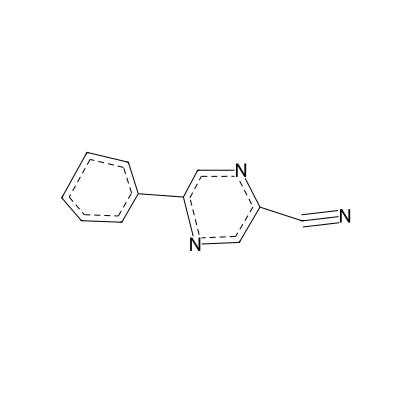 N#Cc1cnc(-c2ccccc2)cn1